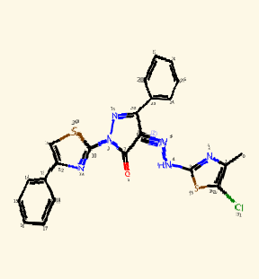 Cc1nc(N/N=C2\C(=O)N(c3nc(-c4ccccc4)cs3)N=C2c2ccccc2)sc1Cl